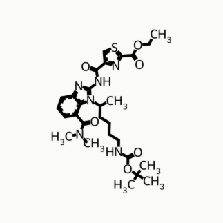 CCOC(=O)c1nc(C(=O)Nc2nc3cccc(C(=O)N(C)C)c3n2C(C)CCCCNC(=O)OC(C)(C)C)cs1